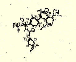 Cc1cnc(N)c2c(-c3ccc(N[S+]([O-])C(F)F)c(OCc4ccc(F)cc4)c3)coc12